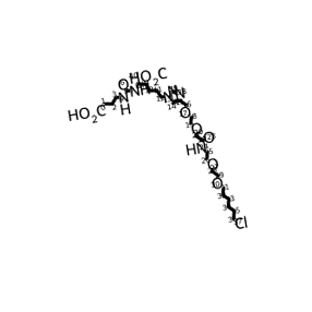 O=C(O)CCCNC(=O)N[C@@H](CCCCn1cc(COCCOCC(=O)NCCOCCOCCCCCCCl)nn1)C(=O)O